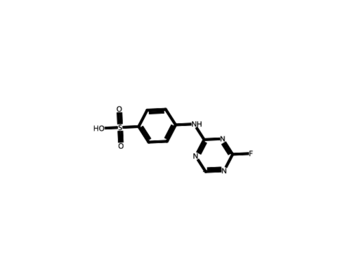 O=S(=O)(O)c1ccc(Nc2n[c]nc(F)n2)cc1